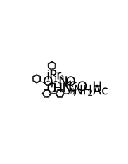 CC(=O)NC(C)[C@](Cc1ccc(-c2ccccc2)cc1)(NC(=O)N(CC(C)C)CC(CCc1ccccc1)C(=O)OCc1ccccc1)C(=O)O